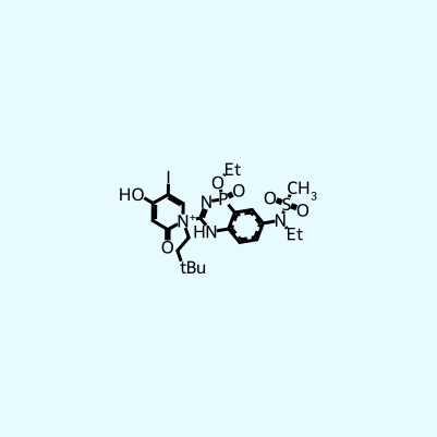 CCOP1(=O)N=C([N+]2(CCC(C)(C)C)C=C(I)C(O)=CC2=O)Nc2ccc(N(CC)S(C)(=O)=O)cc21